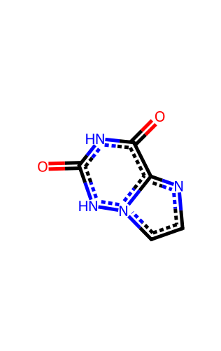 O=c1[nH]c(=O)c2nccn2[nH]1